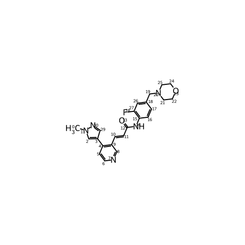 Cn1cc(-c2ccncc2/C=C/C(=O)Nc2ccc(CN3CCOCC3)cc2F)cn1